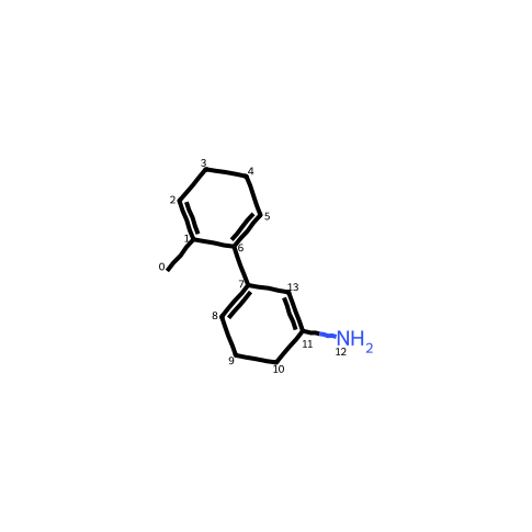 CC1=CCCC=C1C1=CCCC(N)=C1